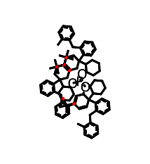 Cc1ccccc1Cc1ccccc1C1(C2CCCCC2)C=CC(C(C)(C)C)=CC1OP(OC1C=C(C(C)(C)C)C=CC1(c1ccccc1Cc1ccccc1C)C1CCCCC1)OC1C=C(C(C)(C)C)C=CC1(c1ccccc1Cc1ccccc1C)C1CCCCC1